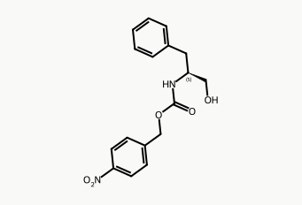 O=C(N[C@H](CO)Cc1ccccc1)OCc1ccc([N+](=O)[O-])cc1